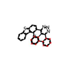 c1ccc(-c2cccnc2-c2c(-c3ccccc3)nnnc2-c2ccc3sc4ccccc4c3c2-c2ccccc2)cc1